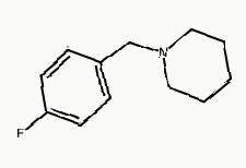 Fc1c[c]c(CN2CCCCC2)cc1